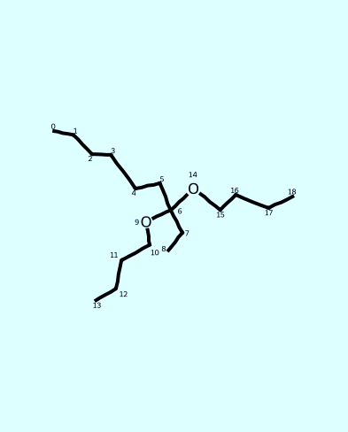 CCCCCCC(CC)(OCCCC)OCCCC